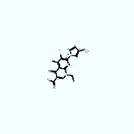 CCn1cc(C(=O)O)c(=O)c2c(C)c(F)c(-n3ccc(N)c3)nc21